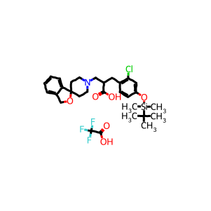 CC(C)(C)[Si](C)(C)Oc1ccc(CC(CN2CCC3(CC2)OCc2ccccc23)C(=O)O)c(Cl)c1.O=C(O)C(F)(F)F